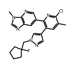 Cc1cc(-c2cnn(CC3(F)CCCC3)c2)c(-c2cnc3c(c2)ncn3C)nc1Cl